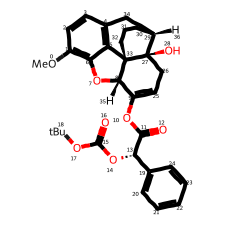 COc1ccc2c3c1O[C@H]1C(OC(=O)[C@@H](OC(=O)OC(C)(C)C)c4ccccc4)=CC[C@@]4(O)[C@H](CCC[C@]314)C2